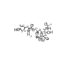 CC(=O)NCC1C(O)CC(O)(C(=O)O)OC1C[C@H](O)COC(=O)[C@H](N)Cc1ccc(O)cc1